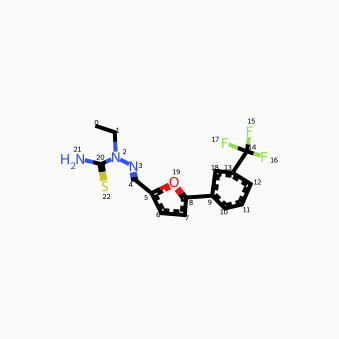 CCN(N=Cc1ccc(-c2cccc(C(F)(F)F)c2)o1)C(N)=S